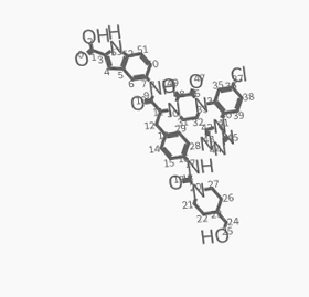 O=C(O)c1cc2cc(NC(=O)C(Cc3ccc(NC(=O)N4CCC(CO)CC4)cc3)N3CCN(c4cc(Cl)ccc4-n4cnnn4)C(=O)C3=O)ccc2[nH]1